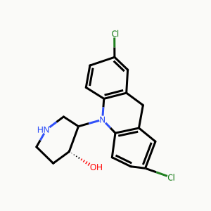 O[C@@H]1CCNCC1N1c2ccc(Cl)cc2Cc2cc(Cl)ccc21